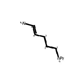 CCCCCC/C=C/[N]